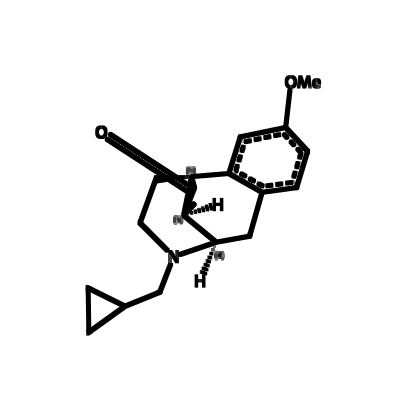 COc1ccc2c(c1)[C@]13CCN(CC4CC4)[C@H](C2)[C@H]1CCC(=O)C3